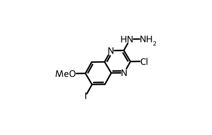 COc1cc2nc(NN)c(Cl)nc2cc1I